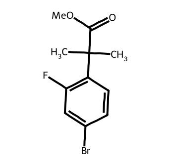 COC(=O)C(C)(C)c1ccc(Br)cc1F